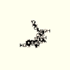 COCCOCCNC(=O)[C@H](CC(=O)O)NC(=O)[C@@H](CC(C)C)NC(=O)[C@H](Cc1ccc(O)cc1)NC(C)=O